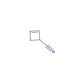 N#CC1[CH]C=C1